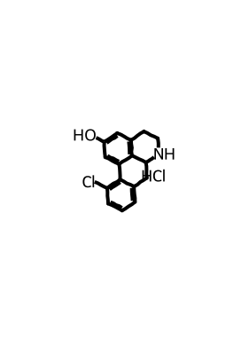 Cl.Oc1cc2c3c(c1)-c1c(Cl)cccc1CC3NCC2